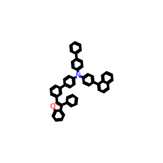 c1ccc(-c2ccc(N(c3ccc(-c4cccc(-c5oc6ccccc6c5-c5ccccc5)c4)cc3)c3ccc(-c4cccc5ccccc45)cc3)cc2)cc1